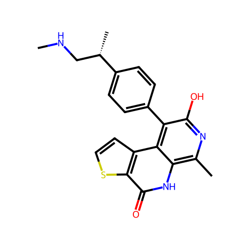 CNC[C@H](C)c1ccc(-c2c(O)nc(C)c3[nH]c(=O)c4sccc4c23)cc1